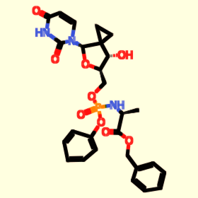 C[C@H](NP(=O)(OC[C@H]1O[C@@H](n2ccc(=O)[nH]c2=O)C2(CC2)[C@@H]1O)Oc1ccccc1)C(=O)OCc1ccccc1